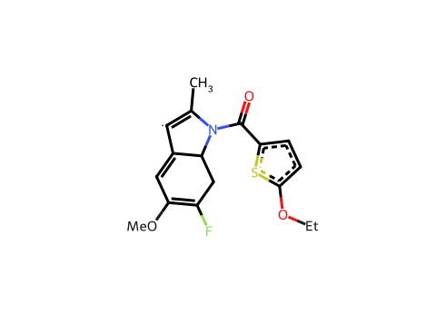 CCOc1ccc(C(=O)N2C(C)=[C]C3=CC(OC)=C(F)CC32)s1